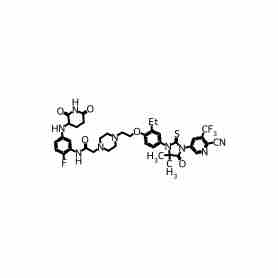 CCc1cc(N2C(=S)N(c3cnc(C#N)c(C(F)(F)F)c3)C(=O)C2(C)C)ccc1OCCN1CCN(CC(=O)Nc2cc(NC3CCC(=O)NC3=O)ccc2F)CC1